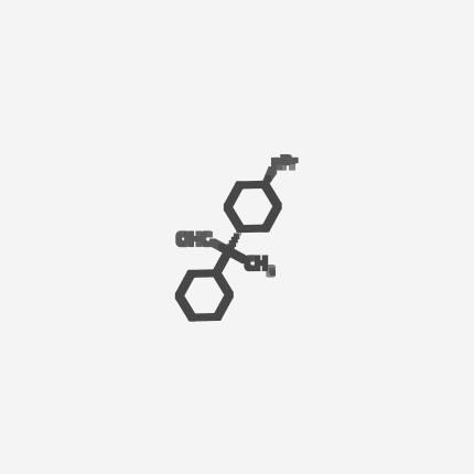 CCC[C@H]1CC[C@H](C(C)(C=O)C2CCCCC2)CC1